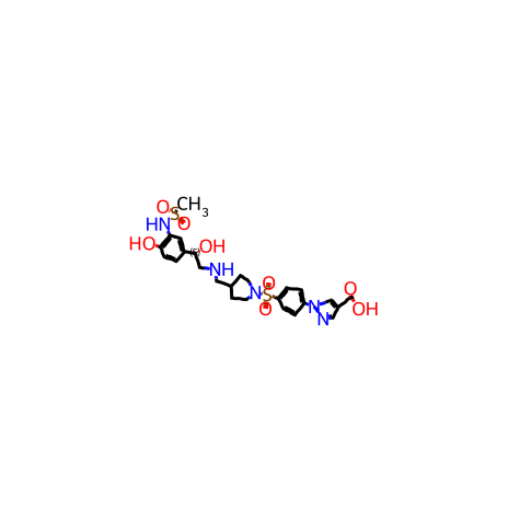 CS(=O)(=O)Nc1cc([C@H](O)CNCC2CCN(S(=O)(=O)c3ccc(-n4cc(C(=O)O)cn4)cc3)CC2)ccc1O